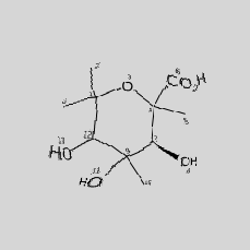 CC1(C)OC(C)(C(=O)O)[C@@H](O)C(C)(O)C1O